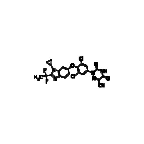 CC(F)(F)c1nc2ccc(Oc3c(Cl)cc(-n4nc(C#N)c(=O)[nH]c4=O)cc3Cl)cc2n1C1CC1